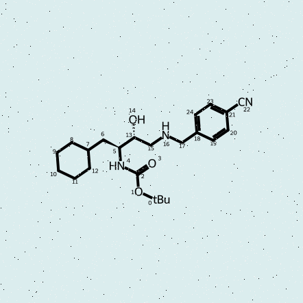 CC(C)(C)OC(=O)N[C@@H](CC1CCCCC1)[C@H](O)CNCc1ccc(C#N)cc1